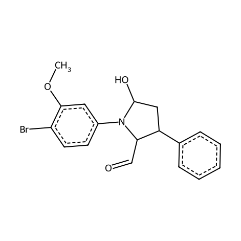 COc1cc(N2C(O)CC(c3ccccc3)C2C=O)ccc1Br